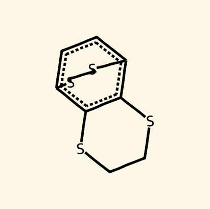 c1cc2c3c(c1SCCS2)SCCS3